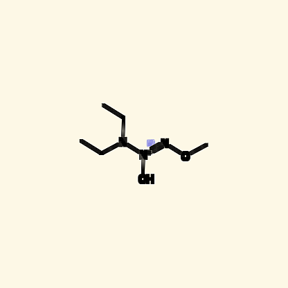 CCN(CC)/[N+](O)=N/OC